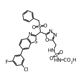 O=C(O)NS(=O)(=O)NCc1nnc(C(c2nc3ccc(-c4cc(F)cc(Cl)c4)cc3s2)S(=O)(=O)Cc2ccccc2)o1